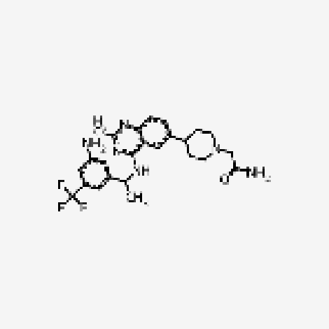 Cc1nc(NC(C)c2cc(N)cc(C(F)(F)F)c2)c2cc(C3CCN(CC(N)=O)CC3)ccc2n1